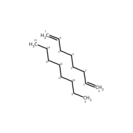 C=CCCCCC=C.CCCCCCCC